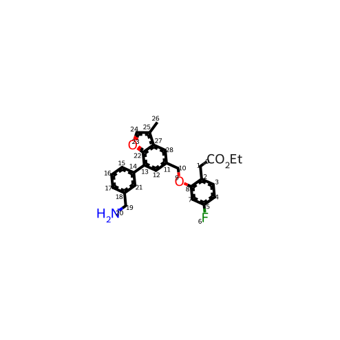 CCOC(=O)Cc1ccc(F)cc1OCc1cc(-c2cccc(CN)c2)c2occ(C)c2c1